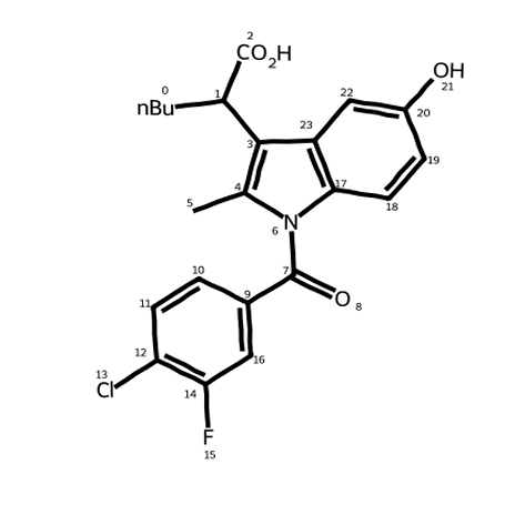 CCCCC(C(=O)O)c1c(C)n(C(=O)c2ccc(Cl)c(F)c2)c2ccc(O)cc12